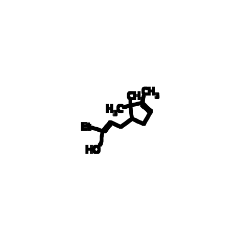 CC/C(=C/CC1CC=C(C)C1(C)C)CO